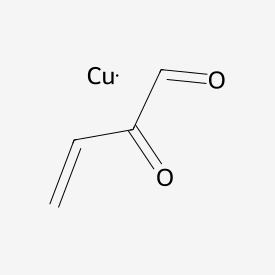 C=CC(=O)C=O.[Cu]